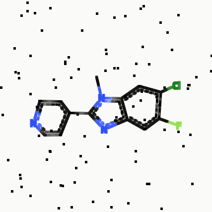 Cn1c(-c2ccncc2)nc2cc(F)c(Cl)cc21